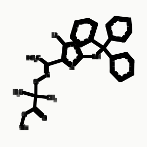 CCc1sc(NC(c2ccccc2)(c2ccccc2)c2ccccc2)nc1C(=NOC(C)(C)C(=O)OC(C)(C)C)C(=O)O